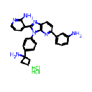 Cl.Cl.Nc1cccc(-c2ccc3nc(-c4cccnc4N)n(-c4ccc(C5(N)CCC5)cc4)c3n2)c1